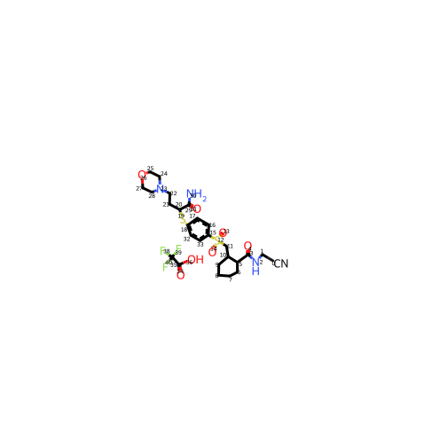 N#CCNC(=O)C1CCCCC1CS(=O)(=O)c1ccc(SC(CCN2CCOCC2)C(N)=O)cc1.O=C(O)C(F)(F)F